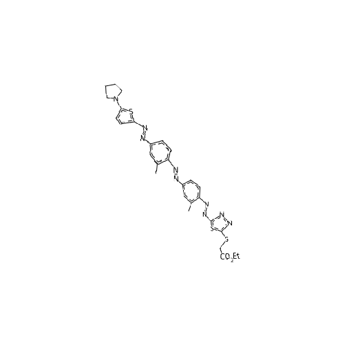 CCOC(=O)CSc1nnc(/N=N/c2ccc(/N=N/c3ccc(/N=N/c4ccc(N5CCCC5)s4)cc3C)cc2C)s1